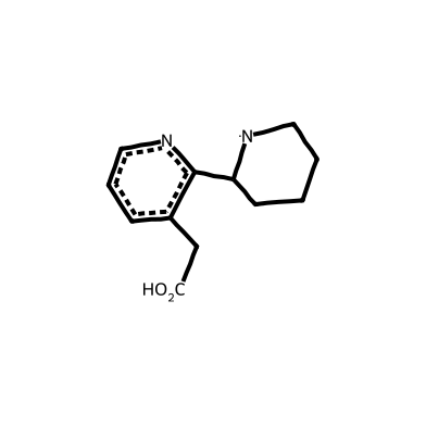 O=C(O)Cc1cccnc1C1CCCC[N]1